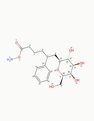 NOC(=O)CCCC(C[C@@H]1O[C@H](CO)[C@H](O)[C@H](O)[C@H]1O)c1ccccc1